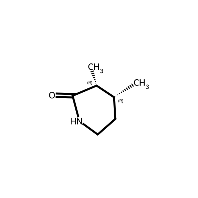 C[C@@H]1CCNC(=O)[C@@H]1C